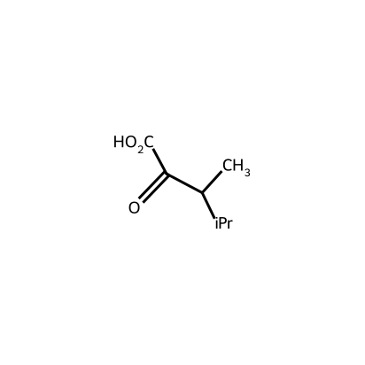 CC(C)C(C)C(=O)C(=O)O